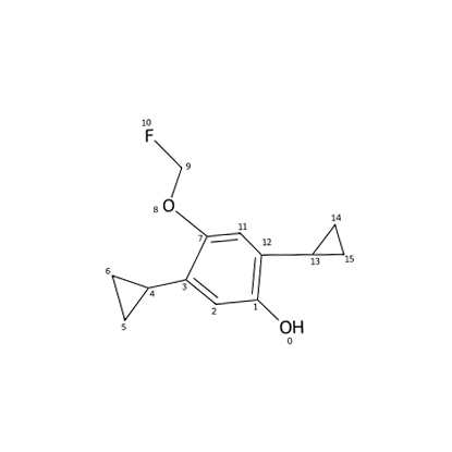 Oc1cc(C2CC2)c(OCF)cc1C1CC1